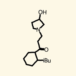 CCC(C)C1CCCCC1C(=O)CCN1CCC(O)C1